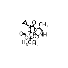 CC(C)(C)OC=O.C[C@@H]1CNCCN1C(=O)NC1CC1